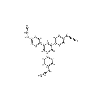 [N-]=[N+]=Nc1ccc(-c2nc(-c3ccc(N=[N+]=[N-])cc3)nc(-c3ccc(N=[N+]=[N-])cc3)n2)cc1